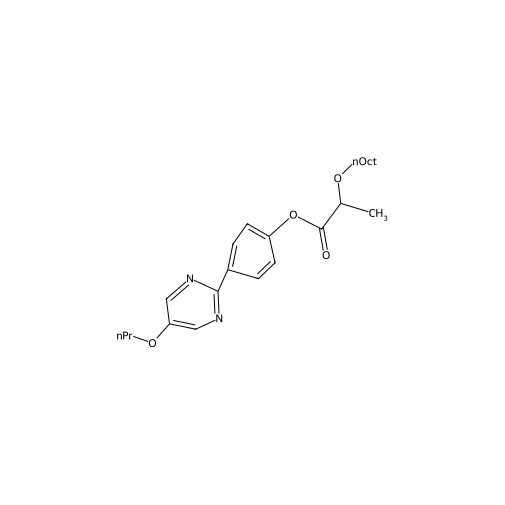 CCCCCCCCOC(C)C(=O)Oc1ccc(-c2ncc(OCCC)cn2)cc1